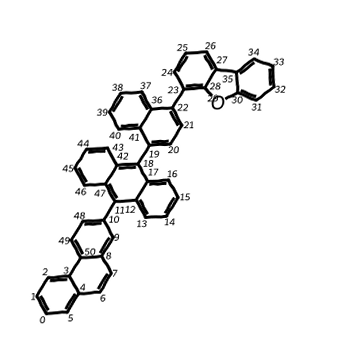 c1ccc2c(c1)ccc1cc(-c3c4ccccc4c(-c4ccc(-c5cccc6c5oc5ccccc56)c5ccccc45)c4ccccc34)ccc12